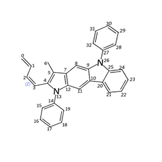 C=C/C=C\c1c(C)c2cc3c(cc2n1-c1ccccc1)c1ccccc1n3-c1ccccc1